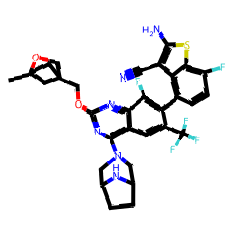 CC12CC(COc3nc(N4CC5CCC(C4)N5)c4cc(C(F)(F)F)c(-c5ccc(F)c6sc(N)c(C#N)c56)c(F)c4n3)(CO1)C2